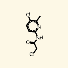 Cc1nc(NC(=O)CCl)ccc1Cl